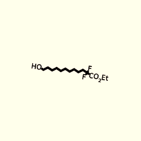 CCOC(=O)C(F)(F)CCCCCCCCCCO